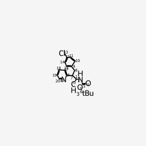 CC(NC(=O)OC(C)(C)C)C(Cc1ccc(Cl)cc1)c1ccccn1